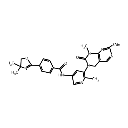 CSc1ncc2c(n1)N(C)C(=O)N(c1cc(NC(=O)c3ccc(C4=NC(C)(C)CO4)cc3)cnc1C)C2